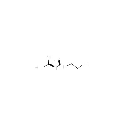 [CH2]CCNC(=S)N=C(C)N